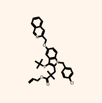 C=CCOC(=O)C(C)(C)Cc1c(SC(C)(C)C)c2cc(OCc3cc4ccccc4cn3)ccc2n1Cc1ccc(Cl)cc1